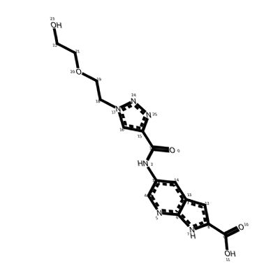 O=C(Nc1cnc2[nH]c(C(=O)O)cc2c1)c1cn(CCOCCO)nn1